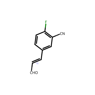 N#Cc1cc(/C=C/C=O)ccc1F